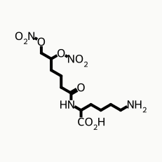 NCCCCC(NC(=O)CCCC(CO[N+](=O)[O-])O[N+](=O)[O-])C(=O)O